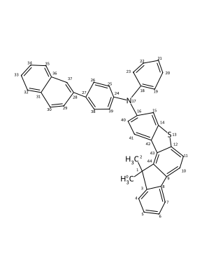 CC1(C)c2ccccc2-c2ccc3sc4cc(N(c5ccccc5)c5ccc(-c6ccc7ccccc7c6)cc5)ccc4c3c21